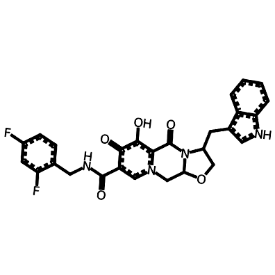 O=C(NCc1ccc(F)cc1F)c1cn2c(c(O)c1=O)C(=O)N1C(Cc3c[nH]c4ccccc34)COC1C2